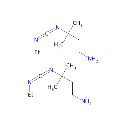 CCN=C=NC(C)(C)CCN.CCN=C=NC(C)(C)CCN